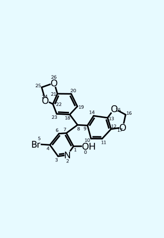 Oc1ncc(Br)cc1C(c1ccc2c(c1)OCO2)c1ccc2c(c1)OCO2